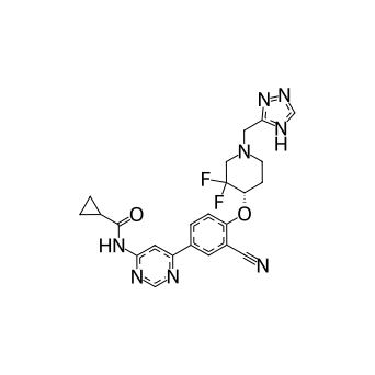 N#Cc1cc(-c2cc(NC(=O)C3CC3)ncn2)ccc1O[C@H]1CCN(Cc2nnc[nH]2)CC1(F)F